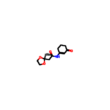 CCCCCCCCCC1(CC(=O)NC2=CC(=O)CCC2)OCCO1